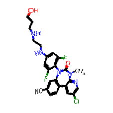 CN1C(=O)N(c2c(F)cc(NCCNCCCO)cc2F)c2cc(C#N)ccc2-c2cc(Cl)cnc21